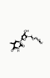 Cc1cn([C@H]2CC(O)[C@@H](CON=[N+]=[N-])O2)c(=O)[nH]c1=O